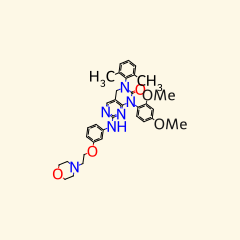 COc1ccc(N2C(=O)N(c3c(C)cccc3C)Cc3cnc(Nc4cccc(OCCN5CCOCC5)c4)nc32)c(OC)c1